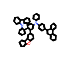 c1ccc(N(c2ccc(-c3cc4ccccc4c4ccccc34)cc2)c2ccc(-c3ccccc3-n3c4ccccc4c4ccccc43)c(-c3ccc4oc5ccccc5c4c3)c2)cc1